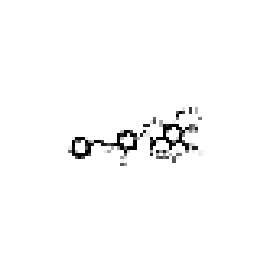 BCc1c(Br)c(B)c(C(=O)O)c(C(=S)Nc2ccc(OCc3ccccc3)c(Cl)c2)c1Br